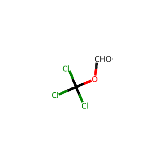 O=[C]OC(Cl)(Cl)Cl